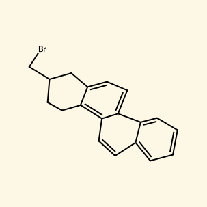 BrCC1CCc2c(ccc3c2ccc2ccccc23)C1